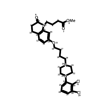 COC(=O)CCCN1C(=O)CCc2ccc(OCCCCN3CCN(c4cccc(Cl)c4Cl)CC3)cc21